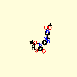 COc1cc(OC)cc(N(CCO[SiH2]C(C)(C)C)c2ccc3ncc(C4=CCN(C(=O)OC(C)(C)C)CC4)nc3c2)c1